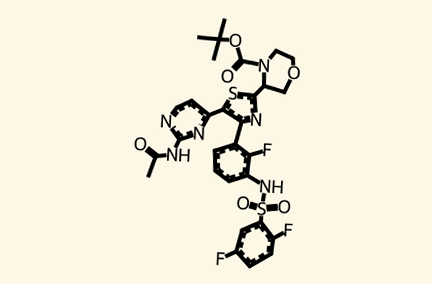 CC(=O)Nc1nccc(-c2sc(C3COCCN3C(=O)OC(C)(C)C)nc2-c2cccc(NS(=O)(=O)c3cc(F)ccc3F)c2F)n1